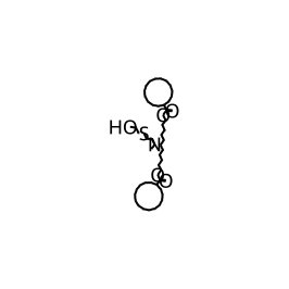 CN(CCSCCO)C(CCCCCOC(=O)C1CCCCCCCCCCCCCC1)CCCCCOC(=O)C1CCCCCCCCCCCCCC1